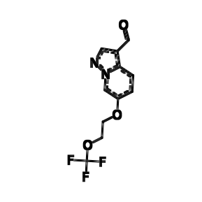 O=Cc1cnn2cc(OCCOC(F)(F)F)ccc12